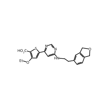 CCOc1cc(-c2cc(NCCc3ccc4c(c3)COC4)ncn2)sc1C(=O)O